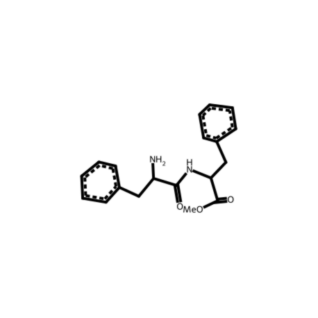 COC(=O)C(Cc1ccccc1)NC(=O)C(N)Cc1ccccc1